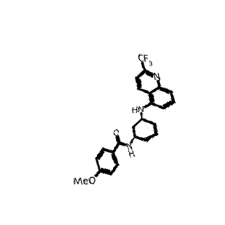 COc1ccc(C(=O)N[C@@H]2CCC[C@H](Nc3cccc4nc(C(F)(F)F)ccc34)C2)cc1